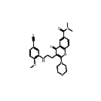 COc1ccc(C#N)cc1NCCc1c(N2CCOCC2)oc2ccc(C(=O)N(C)C)cc2c1=O